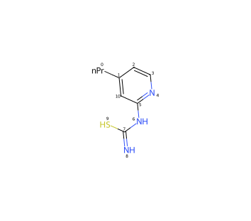 CCCc1ccnc(NC(=N)S)c1